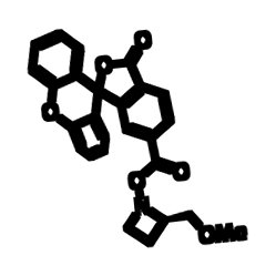 COC[C@H]1CCN1OC(=O)c1ccc2c(c1)C1(OC2=O)c2ccccc2Oc2ccccc21